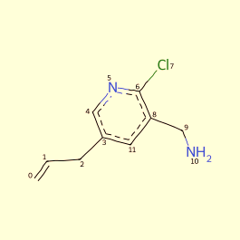 C=CCc1cnc(Cl)c(CN)c1